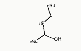 CCCCCPC(O)CCCC